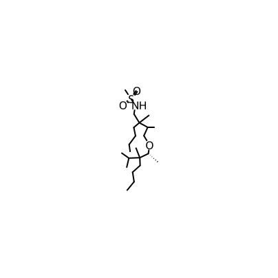 CCCCC(C)(CNS(C)(=O)=O)C(C)CO[C@H](C)C(C)(CCCC)C(C)C